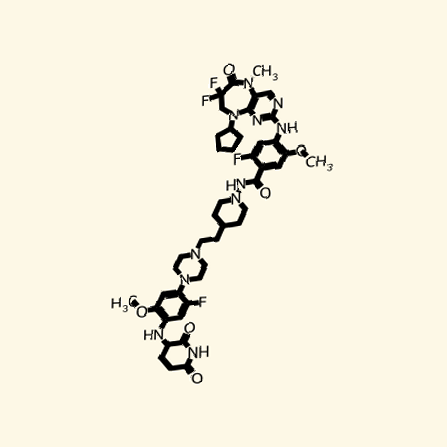 COc1cc(C(=O)NN2CCC(CCN3CCN(c4cc(OC)c(NC5CCC(=O)NC5=O)cc4F)CC3)CC2)c(F)cc1Nc1ncc2c(n1)N(C1CCCC1)CC(F)(F)C(=O)N2C